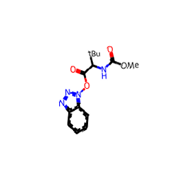 COC(=O)NC(C(=O)On1nnc2ccccc21)C(C)(C)C